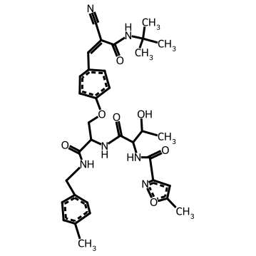 Cc1ccc(CNC(=O)C(COc2ccc(C=C(C#N)C(=O)NC(C)(C)C)cc2)NC(=O)C(NC(=O)c2cc(C)on2)C(C)O)cc1